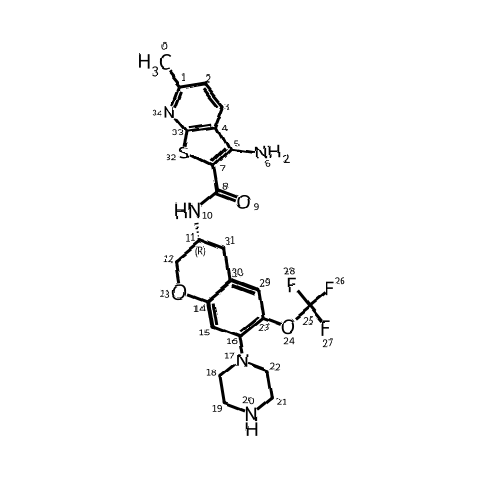 Cc1ccc2c(N)c(C(=O)N[C@H]3COc4cc(N5CCNCC5)c(OC(F)(F)F)cc4C3)sc2n1